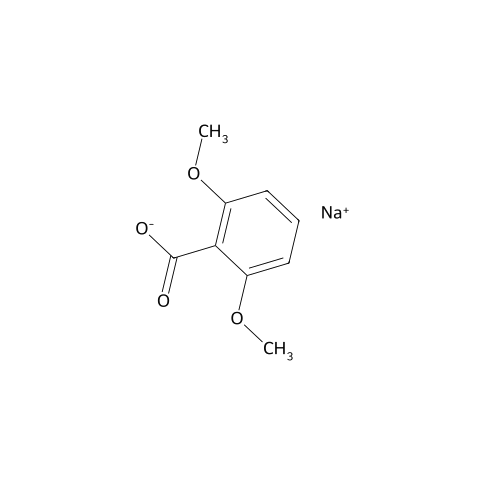 COc1cccc(OC)c1C(=O)[O-].[Na+]